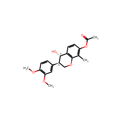 COc1ccc([C@@H]2COc3c(ccc(OC(C)=O)c3C)[C@H]2O)cc1OC